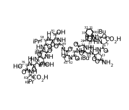 CC[C@H](C)[C@H](N)C(=O)N[C@@H](CC(=O)O)C(=O)N[C@@H](CC(N)=O)C(=O)N[C@H](C(=O)N[C@@H](Cc1c[nH]c2ccccc12)C(=O)NCC(=O)N1CCC[C@H]1C(=O)NCC(=O)N[C@H](C(=O)N[C@@H](CC(C)C)C(=O)N[C@H](C(=O)N[C@H](C(=O)N[C@H](C(=O)N[C@@H](CO)C(=O)N[C@@H](CC(C)C)C(=O)O)C(C)C)[C@@H](C)O)C(C)C)[C@@H](C)O)[C@@H](C)CC